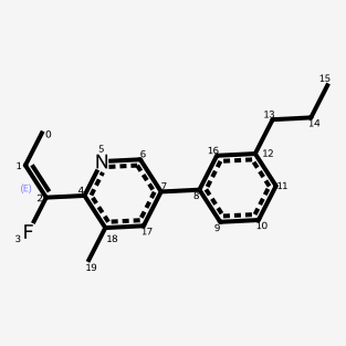 C/C=C(/F)c1ncc(-c2cccc(CCC)c2)cc1C